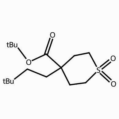 CC(C)(C)CCC1(C(=O)OC(C)(C)C)CCS(=O)(=O)CC1